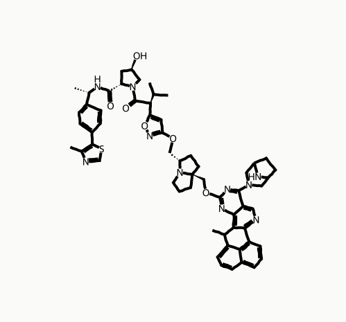 Cc1ncsc1-c1ccc([C@H](C)NC(=O)[C@@H]2C[C@@H](O)CN2C(=O)[C@H](c2cc(OC[C@@H]3CC[C@]4(COc5nc(N6CC7CCC(C6)N7)c6cnc7c(c6n5)C(C)c5cccc6cccc-7c56)CCCN34)no2)C(C)C)cc1